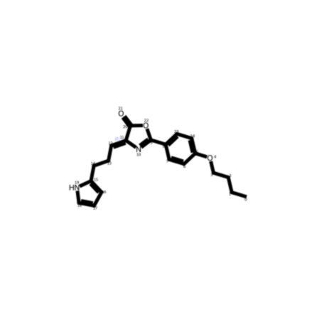 CCCCOc1ccc(C2=N/C(=C\CCc3ccc[nH]3)C(=O)O2)cc1